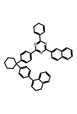 C1=CC(c2nc(-c3ccc(C4(c5ccc(C6=CCCc7ccccc76)cc5)CCCCC4)cc3)nc(-c3ccc4ccccc4c3)n2)=CCC1